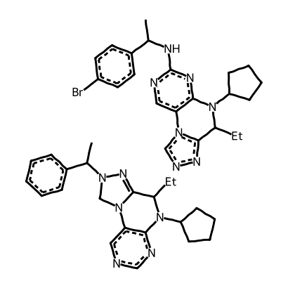 CCC1C2=NN(C(C)c3ccccc3)CN2c2cncnc2N1C1CCCC1.CCC1c2nncn2-c2cnc(NC(C)c3ccc(Br)cc3)nc2N1C1CCCC1